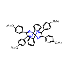 COc1ccc(C2=NC(c3ccccc3)(C3(c4ccccc4)N=C(c4ccc(OC)cc4)C(c4ccc(OC)cc4)=N3)N=C2c2ccc(OC)cc2)cc1